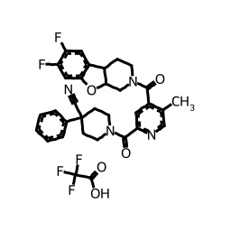 Cc1cnc(C(=O)N2CCC(C#N)(c3ccccc3)CC2)cc1C(=O)N1CCC2c3cc(F)c(F)cc3OC2C1.O=C(O)C(F)(F)F